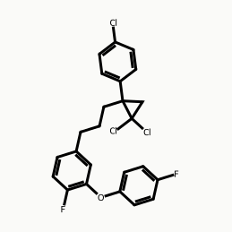 Fc1ccc(Oc2cc(CCCC3(c4ccc(Cl)cc4)CC3(Cl)Cl)ccc2F)cc1